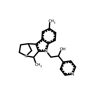 Cc1ccc2c(c1)c1c(n2CC(O)c2ccncc2)C(C)N2CCC1C2